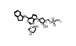 C1CNCCN1.NS(=O)(=O)OC[C@@H]1C[C@@H](n2ccc3c(N[C@H]4CCc5ccccc54)ncnc32)C[C@@H]1O